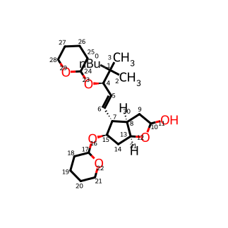 CCCCC(C)(C)[C@@H](C=C[C@@H]1[C@H]2CC(O)O[C@H]2C[C@H]1OC1CCCCO1)OC1CCCCO1